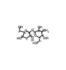 BC1C(O)[C@@H](CO)O[C@@H](SC2OC(CO)C(O)CC2O)C1O